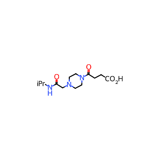 CC(C)NC(=O)CN1CCN(C(=O)CCC(=O)O)CC1